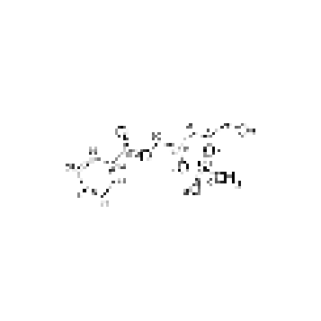 CS(=O)(=O)O[C@@H](CCC=O)COC(=O)c1ccccc1